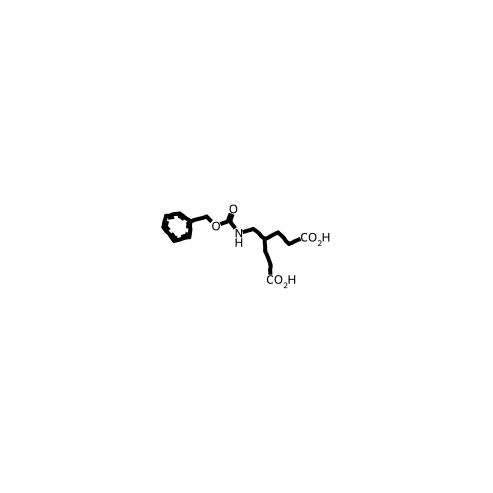 O=C(O)CCC(CCC(=O)O)CNC(=O)OCc1ccccc1